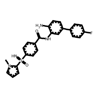 Cn1cccc1S(=N)(=O)c1ccc(C(=O)Nc2cc(-c3ccc(F)cc3)ccc2N)cc1